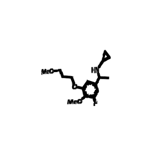 COCCCOc1cc(C(C)NC2CC2)cc(F)c1OC